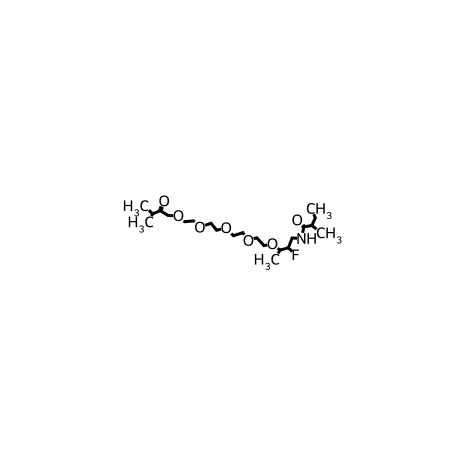 CCC(C)C(=O)NCC(F)C(C)OCCOCCOCCOCCOCC(=O)C(C)C